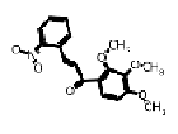 COc1ccc(C(=O)/C=C/c2ccccc2[N+](=O)[O-])c(OC)c1OC